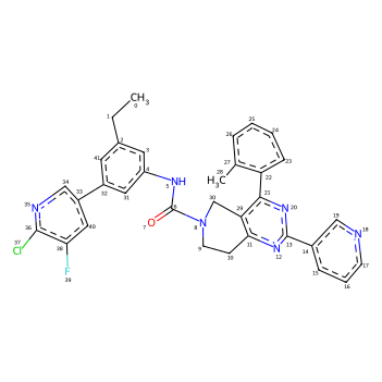 CCc1cc(NC(=O)N2CCc3nc(-c4cccnc4)nc(-c4ccccc4C)c3C2)cc(-c2cnc(Cl)c(F)c2)c1